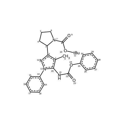 Cc1c(C2CCCN2C(=O)OC(C)(C)C)nn(-c2ccccc2)c1NC(=O)Oc1ccccc1